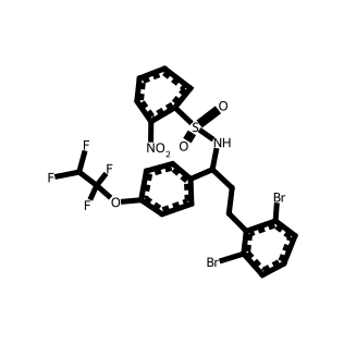 O=[N+]([O-])c1ccccc1S(=O)(=O)NC(CCc1c(Br)cccc1Br)c1ccc(OC(F)(F)C(F)F)cc1